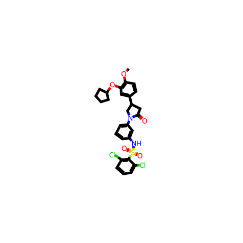 COc1ccc(C2CC(=O)N(c3cccc(NS(=O)(=O)c4c(Cl)cccc4Cl)c3)C2)cc1OC1CCCC1